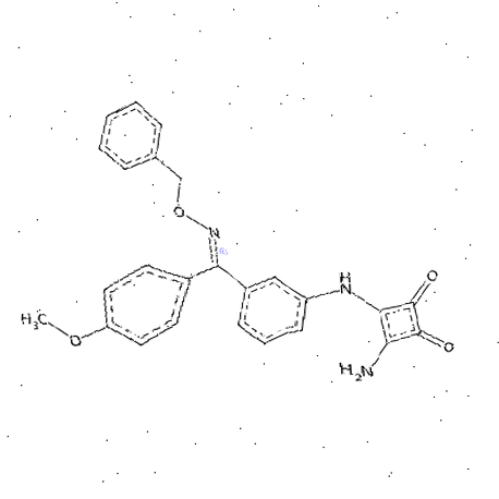 COc1ccc(/C(=N\OCc2ccccc2)c2cccc(Nc3c(N)c(=O)c3=O)c2)cc1